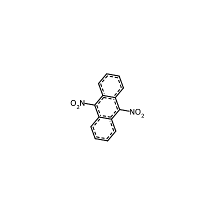 O=[N+]([O-])c1c2ccccc2c([N+](=O)[O-])c2ccccc12